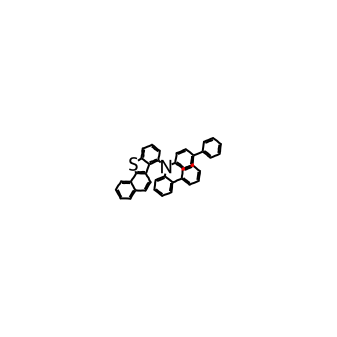 c1ccc(-c2ccc(N(c3ccccc3-c3ccccc3)c3cccc4sc5c6ccccc6ccc5c34)cc2)cc1